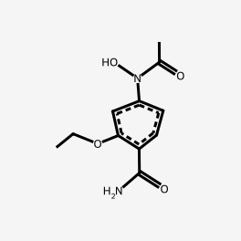 CCOc1cc(N(O)C(C)=O)ccc1C(N)=O